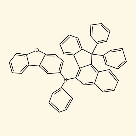 c1ccc(N(c2ccc3oc4ccccc4c3c2)c2cc3ccccc3c3c2-c2ccccc2C3(c2ccccc2)c2ccccc2)cc1